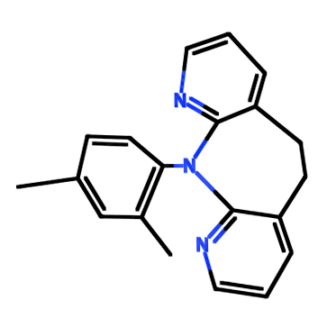 Cc1ccc(N2c3ncccc3CCc3cccnc32)c(C)c1